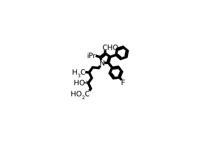 CC(CCn1c(-c2ccc(F)cc2)c(-c2ccccc2)c(C=O)c1C(C)C)C[C@@H](O)CC(=O)O